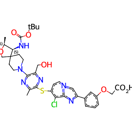 Cc1nc(N2CCC3(CC2)CO[C@@H](C)[C@H]3NC(=O)OC(C)(C)C)c(CO)nc1Sc1ccn2cc(-c3cccc(OCC(=O)O)c3)nc2c1Cl